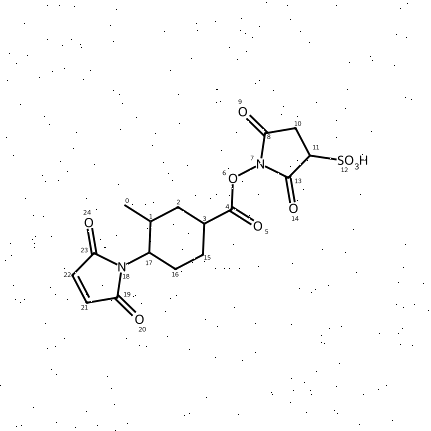 CC1CC(C(=O)ON2C(=O)CC(S(=O)(=O)O)C2=O)CCC1N1C(=O)C=CC1=O